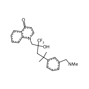 CNCc1cccc(C(C)(C)CC(O)(Cn2ccc(=O)c3ccccc32)C(F)(F)F)c1